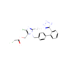 CCCCc1nc(Cl)c(COC(=O)CCl)n1Cc1ccc(-c2ccccc2-c2nnn[nH]2)cc1